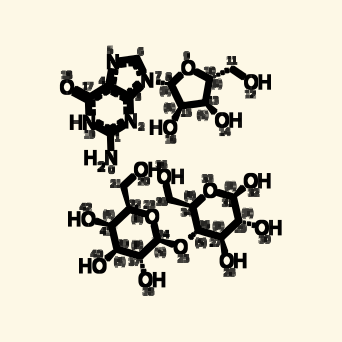 Nc1nc2c(ncn2[C@@H]2O[C@H](CO)[C@@H](O)[C@H]2O)c(=O)[nH]1.OC[C@H]1O[C@@H](O[C@H]2[C@H](O)[C@@H](O)[C@H](O)O[C@@H]2CO)[C@H](O)[C@@H](O)[C@H]1O